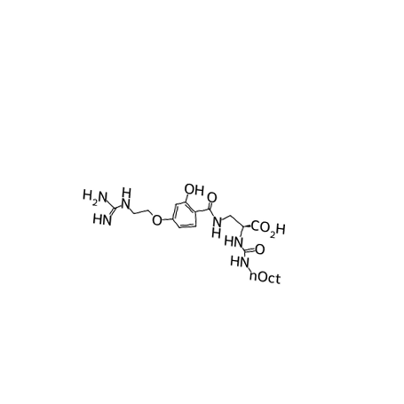 CCCCCCCCNC(=O)N[C@@H](CNC(=O)c1ccc(OCCNC(=N)N)cc1O)C(=O)O